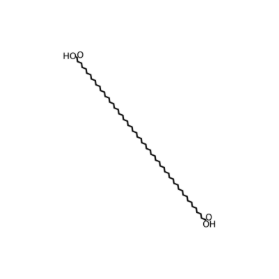 O=C(O)CCCCCCCCCCCCCCCCCCCCCCCCCCCCCCCCCCCCCCCCCCCCCCCCCCCCCCCC(=O)O